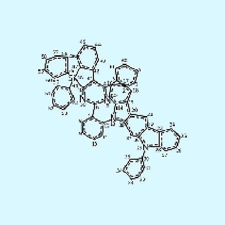 c1ccc(-c2nc(-c3ccccc3-n3c4ccccc4c4cc5c6ccccc6n(-c6ccccc6)c5cc43)nc3c2-c2ccccc2[Si]3(c2ccccc2)c2ccccc2)cc1